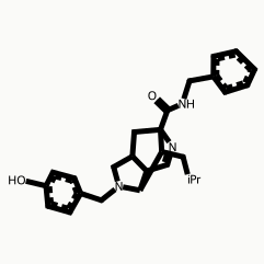 CC(C)CC1C2C3C=NC1(C(=O)NCc1ccccc1)CC3CN2Cc1ccc(O)cc1